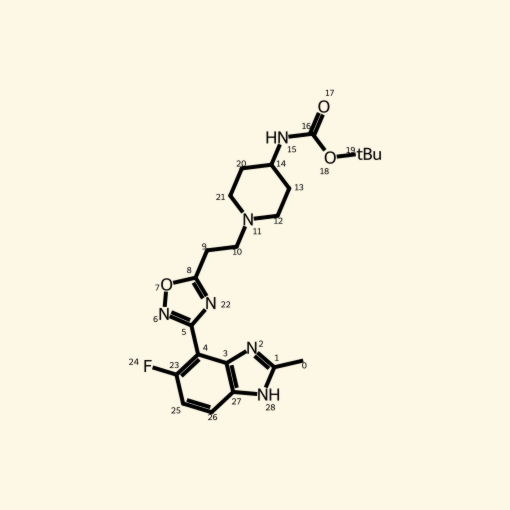 Cc1nc2c(-c3noc(CCN4CCC(NC(=O)OC(C)(C)C)CC4)n3)c(F)ccc2[nH]1